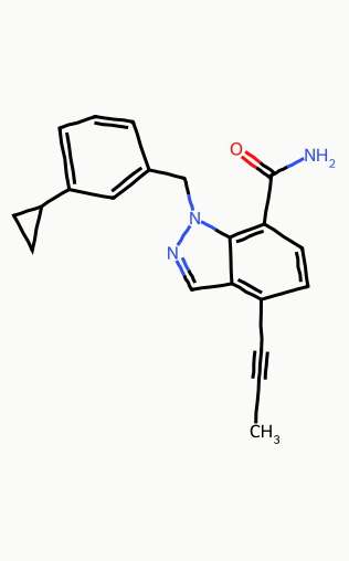 CC#Cc1ccc(C(N)=O)c2c1cnn2Cc1cccc(C2CC2)c1